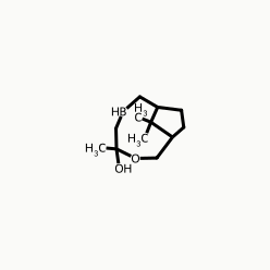 CC1(O)CBCC2CCC(CO1)C2(C)C